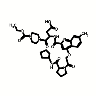 CCOC(=O)N1CCN(C(=O)C(CC(=O)O)NC(=O)c2cc(OCC(=O)N3CCCC3C(=O)NC3CCCC3)c3ccc(C)cc3n2)CC1